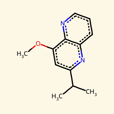 COc1cc(C(C)C)nc2cccnc12